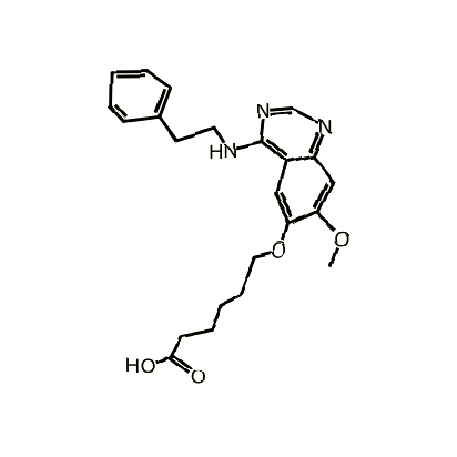 COc1cc2ncnc(NCCc3ccccc3)c2cc1OCCCCCC(=O)O